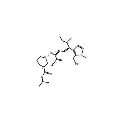 C=C(Cl)/C(=N\C=C(\c1cnn(C)c1CO)C(C)CC)O[C@H]1CCC[C@H](C(=O)OC(C)C)C1